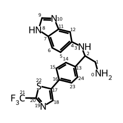 NCC(Nc1ccc2[nH]cnc2c1)c1ccc(-c2cnc(C(F)(F)F)s2)cc1